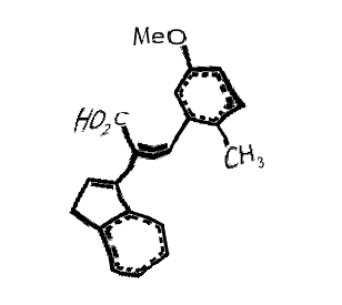 COc1ccc(C)c(C=C(C(=O)O)C2=CCc3ccccc32)c1